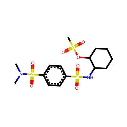 CN(C)S(=O)(=O)c1ccc(S(=O)(=O)NC2CCCCC2OS(C)(=O)=O)cc1